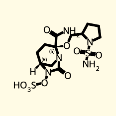 NC(=O)[C@@]1(OCC2CCCN2S(N)(=O)=O)CC[C@@H]2CN1C(=O)N2OS(=O)(=O)O